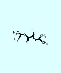 CC(C)OC(=O)C(=O)OC(C)C.[Ti]